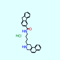 Cl.O=C(NCCCCC1Cc2c(ccc3ccccc23)CN1)c1ccc2c(c1)-c1ccccc1C2